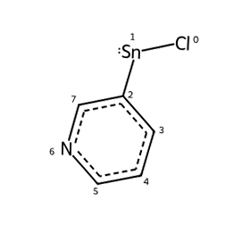 [Cl][Sn][c]1cccnc1